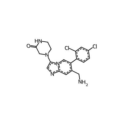 NCc1cc2ncc(N3CCNC(=O)C3)n2cc1-c1ccc(Cl)cc1Cl